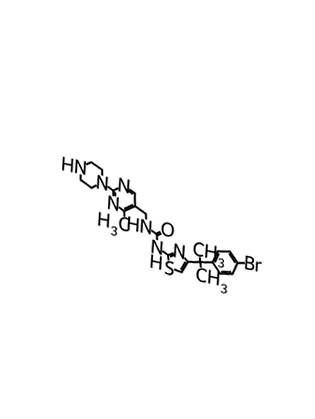 Cc1nc(N2CCNCC2)ncc1CNC(=O)Nc1nc(C(C)(C)c2ccc(Br)cc2)cs1